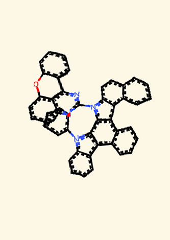 c1ccc(-n2c3ccccc3c3c4ccccc4c4c5c6ccccc6ccc5n(-c5nc6c7c(cccc7n5)Oc5ccccc5-6)c4c32)cc1